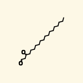 CCCCCCCCCCCCCCCCC(=O)CC=O